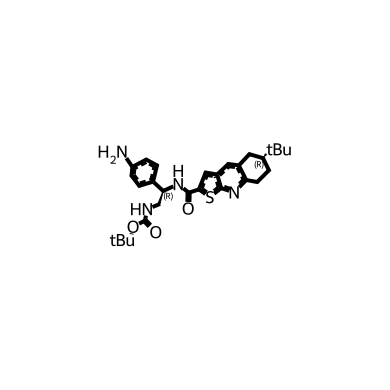 CC(C)(C)OC(=O)NC[C@H](NC(=O)c1cc2cc3c(nc2s1)CC[C@@H](C(C)(C)C)C3)c1ccc(N)cc1